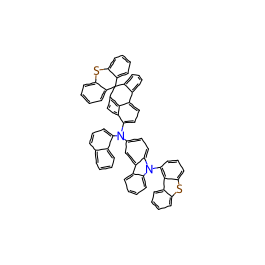 c1ccc2c(c1)Sc1ccccc1C21c2ccccc2-c2ccc(N(c3ccc4c(c3)c3ccccc3n4-c3cccc4sc5ccccc5c34)c3cccc4ccccc34)c3cccc1c23